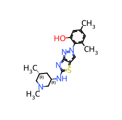 Cc1cc(C)c(-n2cc3sc(N[C@@H]4C[C@@H](C)CN(C)C4)nc3n2)c(O)c1